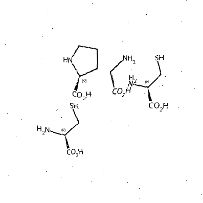 NCC(=O)O.N[C@@H](CS)C(=O)O.N[C@@H](CS)C(=O)O.O=C(O)[C@@H]1CCCN1